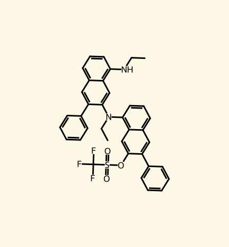 CCNc1cccc2cc(-c3ccccc3)c(N(CC)c3cccc4cc(-c5ccccc5)c(OS(=O)(=O)C(F)(F)F)cc34)cc12